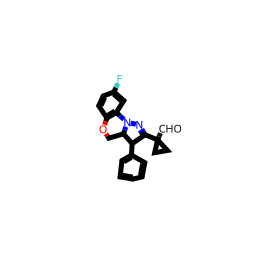 O=CC1(C2=NN3c4cc(F)ccc4OCC3C2c2ccccc2)CC1